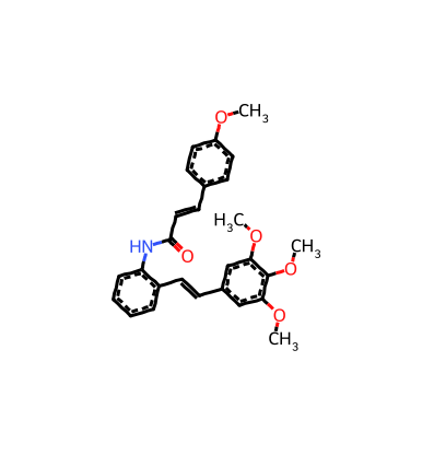 COc1ccc(/C=C/C(=O)Nc2ccccc2C=Cc2cc(OC)c(OC)c(OC)c2)cc1